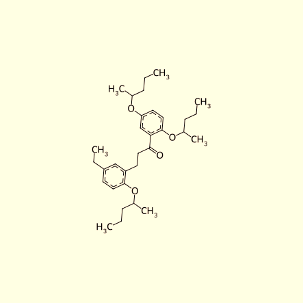 CCCC(C)Oc1ccc(OC(C)CCC)c(C(=O)CCc2cc(CC)ccc2OC(C)CCC)c1